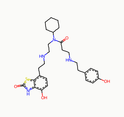 O=C(CCNCCc1ccc(O)cc1)N(CCNCCc1ccc(O)c2[nH]c(=O)sc12)C1CCCCC1